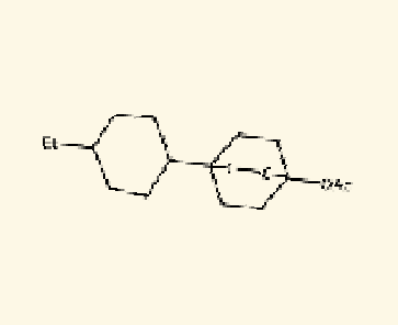 CCC1CCC(C23CCC(OC(C)=O)(CC2)CC3)CC1